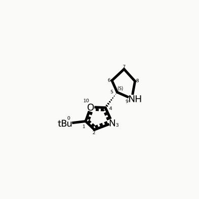 CC(C)(C)c1cnc([C@@H]2CCCN2)o1